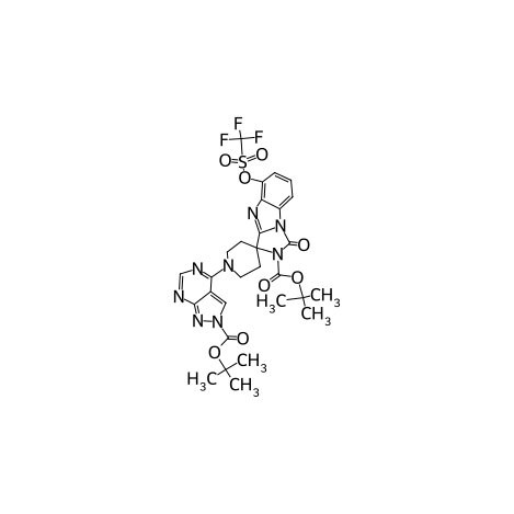 CC(C)(C)OC(=O)N1C(=O)n2c(nc3c(OS(=O)(=O)C(F)(F)F)cccc32)C12CCN(c1ncnc3nn(C(=O)OC(C)(C)C)cc13)CC2